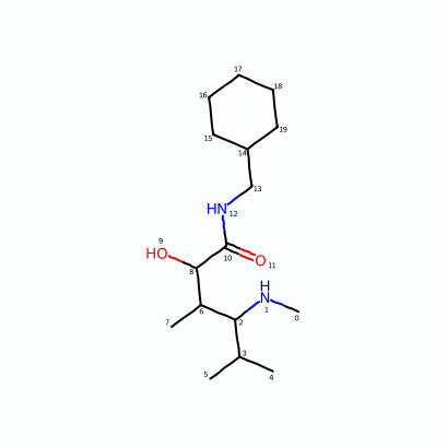 CNC(C(C)C)C(C)C(O)C(=O)NCC1CCCCC1